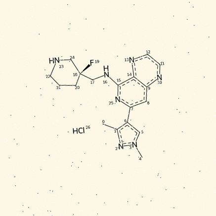 Cc1nn(C)cc1-c1cc2nccnc2c(NC[C@]2(F)CCCNC2)n1.Cl